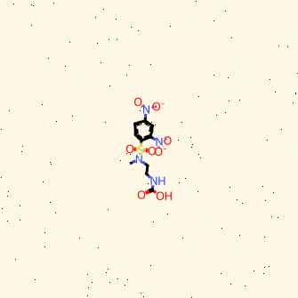 CN(CCNC(=O)O)S(=O)(=O)c1ccc([N+](=O)[O-])cc1[N+](=O)[O-]